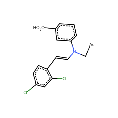 CC(=O)CN(C=Cc1ccc(Cl)cc1Cl)c1cccc(C(=O)O)c1